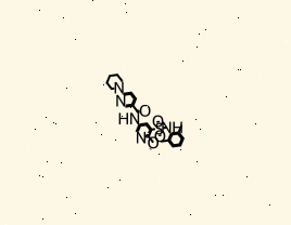 COc1ncc(NC(=O)c2ccc(N3CCCCC3)nc2)cc1S(=O)(=O)Nc1c(C)cccc1C